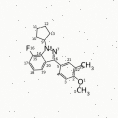 COc1ccc(-c2nn(C3CCCC3)c3c(F)cccc23)cc1C